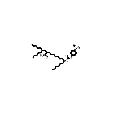 CCCCCCC(CCCCCCCC(CC(CCCCC)CCCCC)C(=O)O)OC(=O)Oc1ccc([N+](=O)[O-])cc1